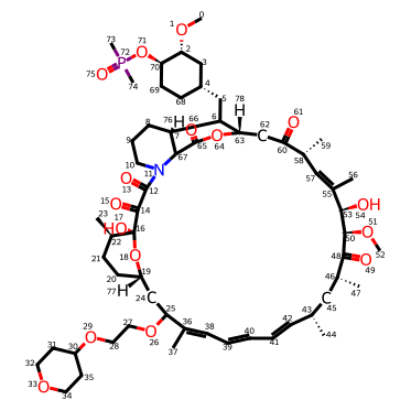 CO[C@@H]1C[C@H](CC2[C@H]3CCCN4C(=O)C(=O)[C@]5(O)O[C@@H](CC[C@H]5C)CC(OCCOC5CCOCC5)/C(C)=C/C=C/C=C/[C@@H](C)C[C@@H](C)C(=O)[C@H](OC)[C@H](O)/C(C)=C/[C@@H](C)C(=O)C[C@@H]2OC(=O)C34)CC[C@H]1OP(C)(C)=O